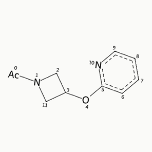 CC(=O)N1CC(Oc2ccccn2)C1